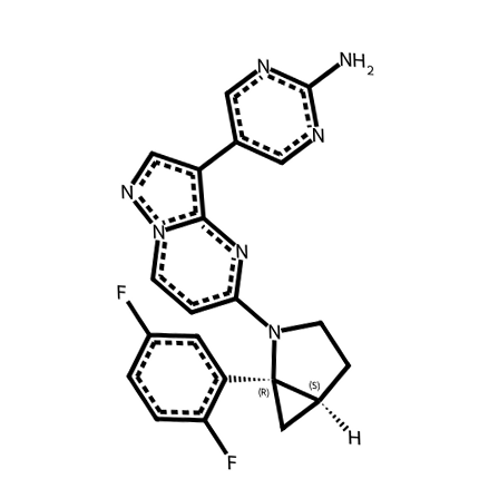 Nc1ncc(-c2cnn3ccc(N4CC[C@H]5C[C@]54c4cc(F)ccc4F)nc23)cn1